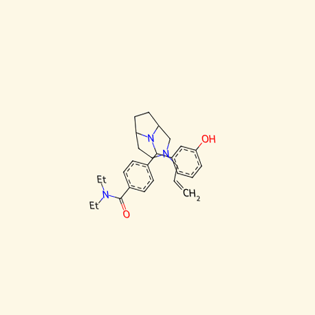 C=CCN1CCC2CCC(C1)N2C(c1ccc(C(=O)N(CC)CC)cc1)c1cccc(O)c1